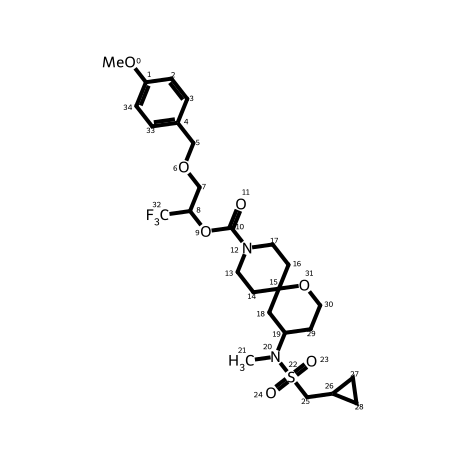 COc1ccc(COCC(OC(=O)N2CCC3(CC2)CC(N(C)S(=O)(=O)CC2CC2)CCO3)C(F)(F)F)cc1